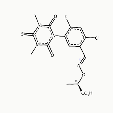 C[C@@H](O/N=C/c1cc(-n2c(=O)n(C)c(=S)n(C)c2=O)c(F)cc1Cl)C(=O)O